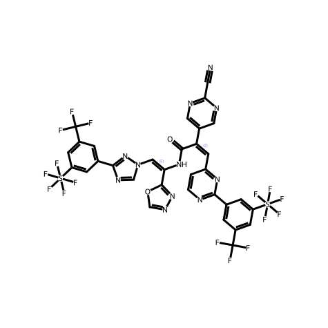 N#Cc1ncc(/C(=C/c2ccnc(-c3cc(C(F)(F)F)cc(S(F)(F)(F)(F)F)c3)n2)C(=O)N/C(=C/n2cnc(-c3cc(C(F)(F)F)cc(S(F)(F)(F)(F)F)c3)n2)c2nnco2)cn1